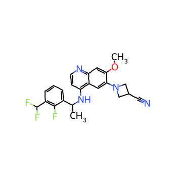 COc1cc2nccc(NC(C)c3cccc(C(F)F)c3F)c2cc1N1CC(C#N)C1